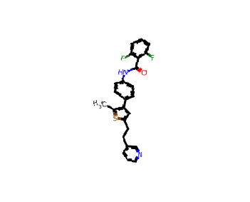 Cc1sc(CCc2cccnc2)cc1-c1ccc(NC(=O)c2c(F)cccc2F)cc1